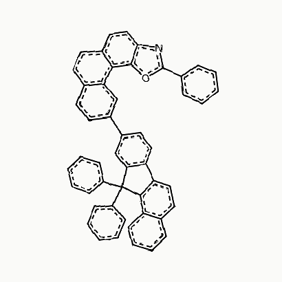 c1ccc(-c2nc3ccc4ccc5ccc(-c6ccc7c(c6)C(c6ccccc6)(c6ccccc6)c6c-7ccc7ccccc67)cc5c4c3o2)cc1